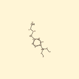 CCN(CC)c1ccc(OCCO)cc1